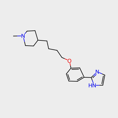 CN1CCC(CCCCOc2cccc(-c3ncc[nH]3)c2)CC1